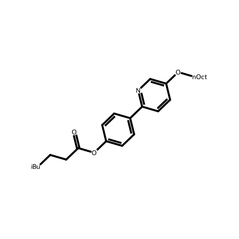 CCCCCCCCOc1ccc(-c2ccc(OC(=O)CCC(C)CC)cc2)nc1